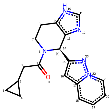 O=C(CC1CC1)N1CCc2[nH]cnc2[C@H]1c1cc2ccccn2n1